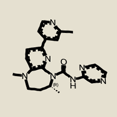 Cc1cc(-c2ccc3c(n2)N(C(=O)Nc2cnccn2)[C@H](C)CCN3C)ccn1